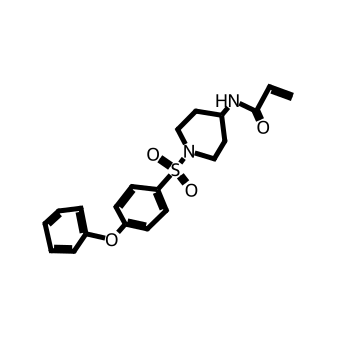 C=CC(=O)NC1CCN(S(=O)(=O)c2ccc(Oc3ccccc3)cc2)CC1